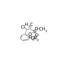 CO[Si](OC)(OC)C(C)C(Cl)c1ccccc1